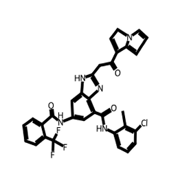 Cc1c(Cl)cccc1NC(=O)c1cc(NC(=O)c2ccccc2C(F)(F)F)cc2[nH]c(CC(=O)C3=CCn4cccc43)nc12